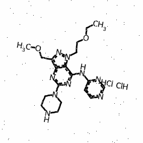 CCOCCn1nc(COC)c2nc(N3CCNCC3)nc(Nc3ccncn3)c21.Cl.Cl